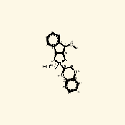 COC1c2ccccc2C2C[N@@+](C)(C3COc4ccccc4O3)CC21.Cl